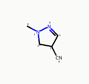 CN1[C]C(C#N)C=N1